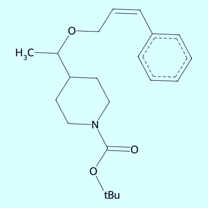 CC(OC/C=C\c1ccccc1)C1CCN(C(=O)OC(C)(C)C)CC1